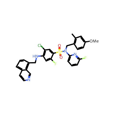 COc1ccc(CN(c2cccc(F)n2)S(=O)(=O)c2cc(Cl)c(NCc3cccc4ccncc34)cc2F)c(C)c1